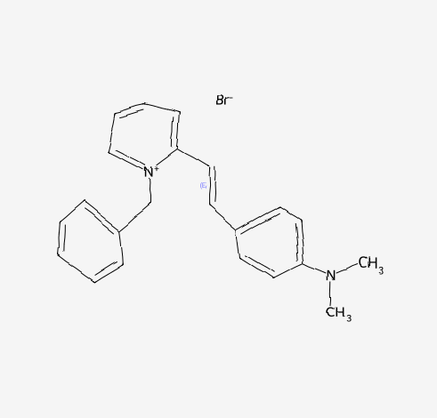 CN(C)c1ccc(/C=C/c2cccc[n+]2Cc2ccccc2)cc1.[Br-]